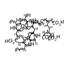 CC(C)CC(=O)N[C@H](C(=O)N[C@H](C(=O)N[C@@H](CC(C)C)[C@@H](O)CC(=O)N[C@@H](C)C(=O)N[C@@H](CC(C)C)[C@@H](O)CC(=O)O)C(C)C)C(C)C.O=C(O)CN(CCN(CC(=O)O)CC(=O)O)CC(=O)O